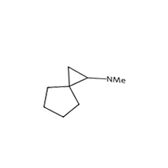 CNC1CC12CCCC2